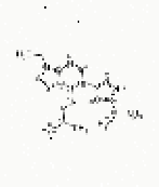 CCn1ncc2c(NCC(C)C)c(-c3nnc(C(C)C)o3)cnc21